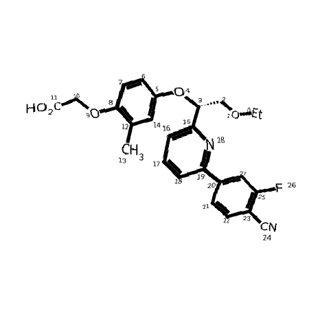 CCOC[C@@H](Oc1ccc(OCC(=O)O)c(C)c1)c1cccc(-c2ccc(C#N)c(F)c2)n1